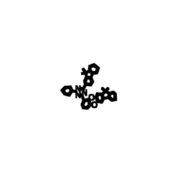 CC1(C)c2ccccc2-c2ccc(-c3nc(-c4ccccc4)nc(-c4cccc5c4Oc4cc6c(cc4O5)-c4ccccc4C6(C)C)n3)cc21